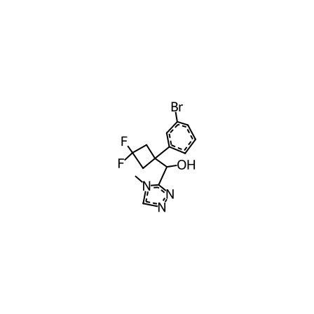 Cn1cnnc1C(O)C1(c2cccc(Br)c2)CC(F)(F)C1